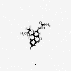 CC(Nc1nc(SNC(N)=O)nc(Cl)c1-c1c(F)cc(F)cc1F)C(F)(F)F